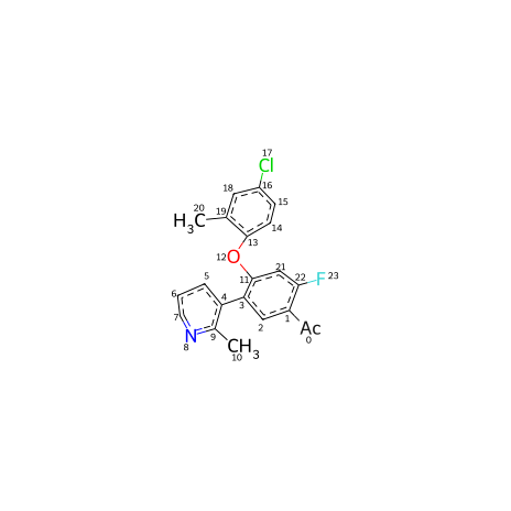 CC(=O)c1cc(-c2cccnc2C)c(Oc2ccc(Cl)cc2C)cc1F